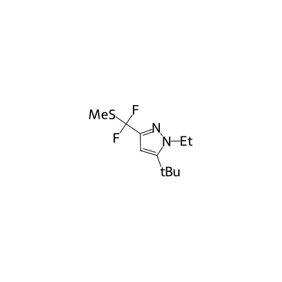 CCn1nc(C(F)(F)SC)cc1C(C)(C)C